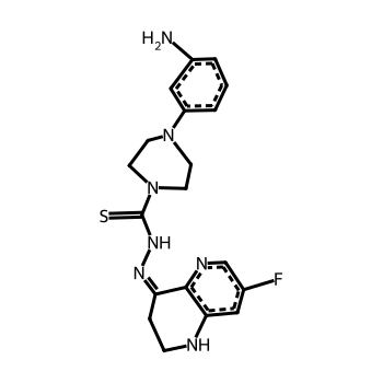 Nc1cccc(N2CCN(C(=S)N/N=C3/CCNc4cc(F)cnc43)CC2)c1